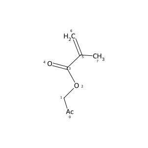 [CH2]C(=O)COC(=O)C(=C)C